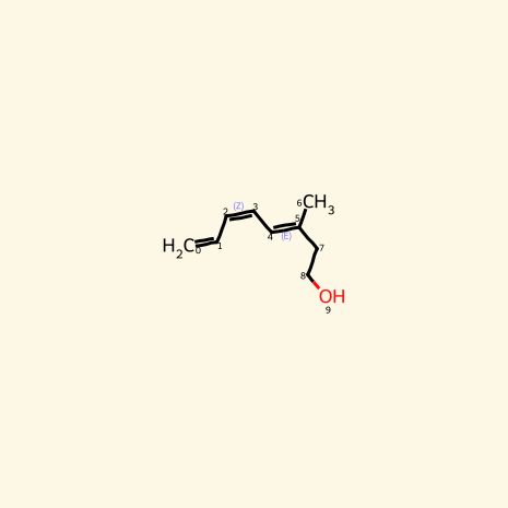 C=C/C=C\C=C(/C)CCO